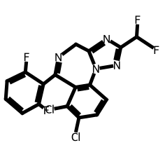 Fc1cccc(F)c1C1=NCc2nc(C(F)F)nn2-c2ccc(Cl)c(Cl)c21